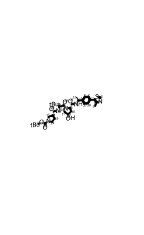 Cc1ncsc1-c1ccc([C@H](C)NC(=O)[C@@H]2C[C@@H](O)CN2C(=O)C(NC(=O)[C@@H]2CCN(C(=O)OC(C)(C)C)C2)C(C)(C)C)cc1